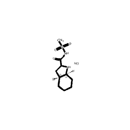 CS(=O)(=O)NC(=O)C1C[C@@H]2CCCC[C@@H]2N1.Cl